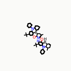 CC1=C(Oc2cc(C(C)(C)C)cc3c2BC2C=CCC(C)C2N3c2ccccc2)NC2Oc3cc(C(C)(C)C)cc4c3B(c3ccccc3N4c3ccccc3)C2C1